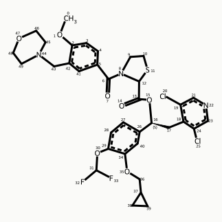 COc1ccc(C(=O)N2CCSC2C(=O)O[C@@H](Cc2c(Cl)cncc2Cl)c2ccc(OC(F)F)c(OCC3CC3)c2)cc1CN1CCOCC1